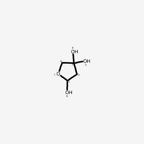 OC1CC(O)(O)CO1